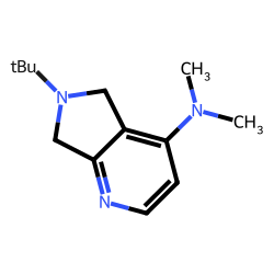 CN(C)c1ccnc2c1CN(C(C)(C)C)C2